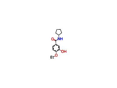 CCOc1ccc(C(=O)NC2CCCC2)cc1O